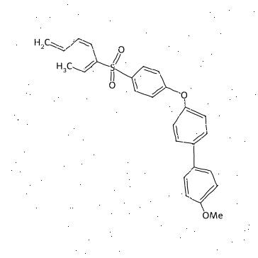 C=C/C=C\C(=C/C)S(=O)(=O)c1ccc(Oc2ccc(-c3ccc(OC)cc3)cc2)cc1